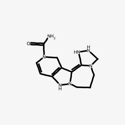 NC(=O)N1C=CC2=C(C1)C1=C3NNCN3CCCN1N2